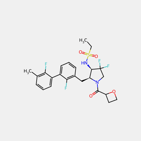 CCS(=O)(=O)N[C@@H]1[C@H](Cc2cccc(-c3cccc(C)c3F)c2F)N(C(=O)C2CCO2)CC1(F)F